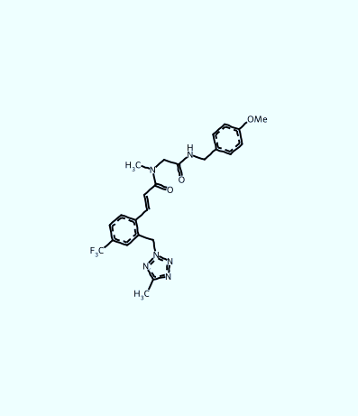 COc1ccc(CNC(=O)CN(C)C(=O)/C=C/c2ccc(C(F)(F)F)cc2Cn2nnc(C)n2)cc1